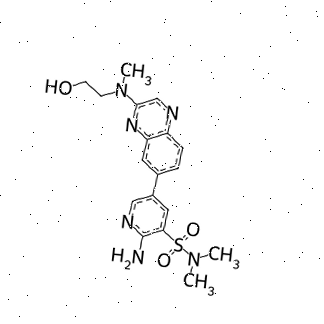 CN(CCO)c1cnc2ccc(-c3cnc(N)c(S(=O)(=O)N(C)C)c3)cc2n1